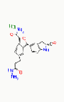 Cl.NNC(=O)CCc1ccc2c(C(N)=O)oc(-c3ccc4c(c3)CC(=C=O)N4)c2c1